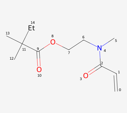 C=CC(=O)N(C)CCOC(=O)C(C)(C)CC